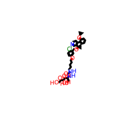 O=C(NCCCCCOc1ccc(Cl)c(COC2(c3cnccc3-c3ccccc3OC3CC3)CC2)c1)NC(CO)C(O)C(O)C(O)CO